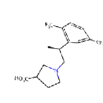 C[C@H](CN1CCC(C(=O)O)C1)c1cc(C(F)(F)F)ccc1C(F)(F)F